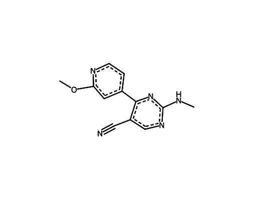 CNc1ncc(C#N)c(-c2ccnc(OC)c2)n1